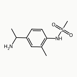 Cc1cc(C(C)N)ccc1NS(C)(=O)=O